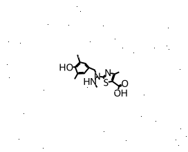 CNN(Cc1cc(C)c(O)c(C)c1)c1nc(C)c(C(=O)O)s1